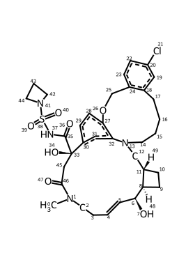 CN1CC/C=C/[C@H](O)[C@@H]2CC[C@H]2CN2CCCCc3cc(Cl)ccc3COc3ccc(cc32)[C@@](O)(C(=O)NS(=O)(=O)N2CCC2)CC1=O